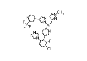 Cn1ccc(C[C@@H](c2ccc(-c3c(-n4cnnn4)ccc(Cl)c3F)cn2)n2cc(-c3ccnc(C(F)(F)F)c3)cn2)n1